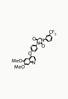 COc1cc2nccc(Oc3ccc(N4C(=O)CN(c5cccc(C(F)(F)F)c5)C4=O)cc3)c2cc1OC